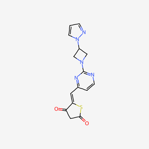 O=C1CC(=O)/C(=C/c2ccnc(N3CC(n4cccn4)C3)n2)S1